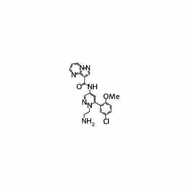 COc1ccc(Cl)cc1C1=C=C(NC(=O)c2cnn3cccnc23)C=NN1CCN